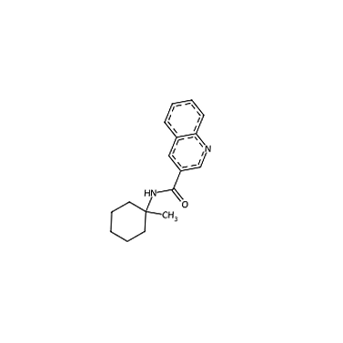 CC1(NC(=O)c2cnc3ccccc3c2)CCCCC1